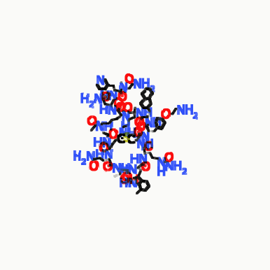 CC(=O)NCCCC[C@H](NC(=O)C(C)(CCCCN)NC(=O)[C@H](Cc1ccc2ccccc2c1)NC(=O)[C@H](Cc1ccc(OCCN)cc1)NC(=O)[C@@H]1CSCC[C@H](NC(C)=O)C(=O)N[C@@H](CCC(N)=O)C(=O)N[C@@H]([C@@H](C)O)C(=O)N[C@@H](Cc2c[nH]c3c(C)cccc23)C(=O)N[C@@H](CCCNC(N)=O)C(=O)N1)C(=O)N[C@@H](CC(N)=O)C(=O)N[C@@H](Cc1cccnc1)C(=O)N(C)CC(N)=O